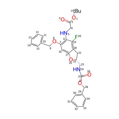 CC(C)(C)OC(=O)CNc1c(OCc2ccccc2)cc2c(c1F)C[C@H](CNC(=O)OCc1ccccc1)O2